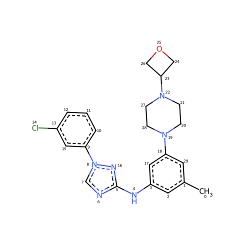 Cc1cc(Nc2ncn(-c3cccc(Cl)c3)n2)cc(N2CCN(C3COC3)CC2)c1